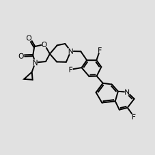 O=C1OC2(CCN(Cc3c(F)cc(-c4ccc5cc(F)cnc5c4)cc3F)CC2)CN(C2CC2)C1=O